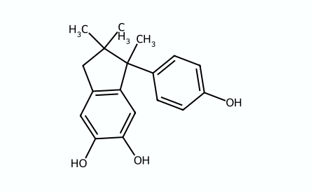 CC1(C)Cc2cc(O)c(O)cc2C1(C)c1ccc(O)cc1